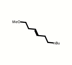 [CH2]OCC/C=C/CCCCCC